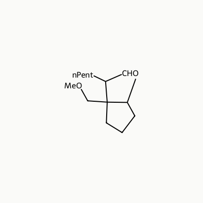 CCCCCC(C=O)C1(COC)CCCC1C